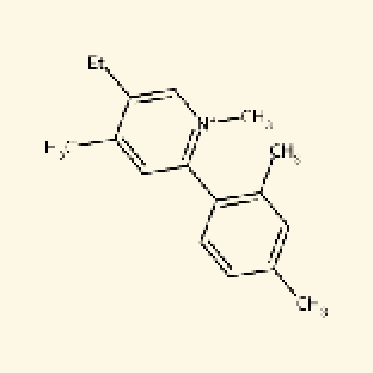 CCc1c[n+](C)c(-c2ccc(C)cc2C)cc1C